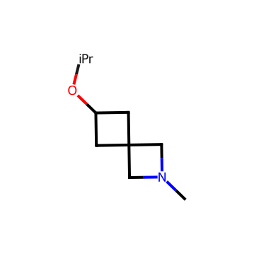 CC(C)OC1CC2(C1)CN(C)C2